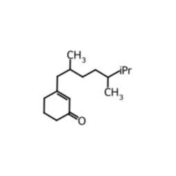 CC(CCC(C)C(C)C)CC1=CC(=O)CCC1